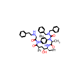 CC[C@H](C)[C@H](NCCc1ccccc1)C(=O)NC(=O)[C@@H](C[C@H](O)[C@H](CC(C)C)NC(=O)[C@H](C)N(C(=O)N(Cc1ccccc1)Cc1ccccc1)c1ccccc1)C(C)C